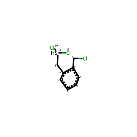 ClCc1ccccc1C[SiH](Cl)Cl